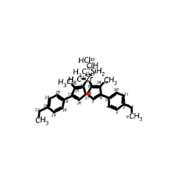 CCc1ccc(C2=CC[C]([Zr]([CH3])([CH3])(=[SiH2])[C]3=C(C)C(c4ccc(CC)cc4)=CC3)=C2C)cc1.Cl.Cl